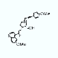 COc1ccc(C#CCN2CC[C@@H](CC[C@H](F)c3ccnc4ccc(OC)cc34)[C@@H](CO)C2)cc1